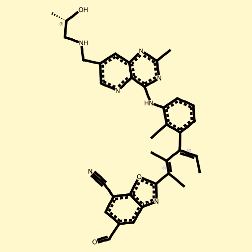 C/C=C(\C(C)=C(/C)c1nc2cc(C=O)cc(C#N)c2o1)c1cccc(Nc2nc(C)nc3cc(CNC[C@H](C)O)cnc23)c1C